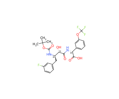 CC(C)(C)OC(=O)N[C@H](Cc1cccc(F)c1)[C@H](O)C(=O)N[C@@H](C(=O)O)c1cccc(OC(F)(F)F)c1